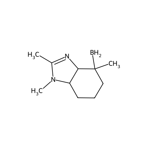 BC1(C)CCCC2C1N=C(C)N2C